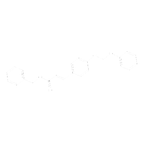 O=C(/C=C/c1ccc(OCOc2ccccc2)cc1)OCc1ccccc1